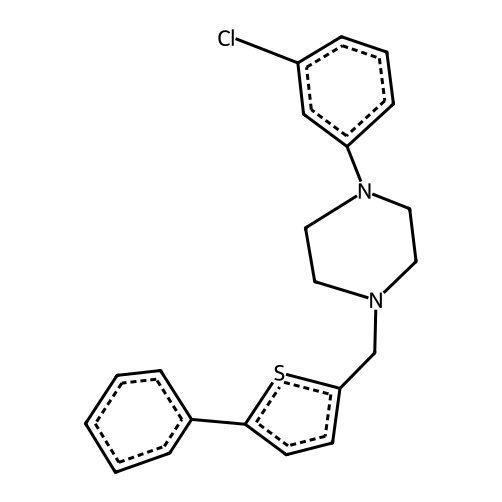 Clc1cccc(N2CCN(Cc3ccc(-c4ccccc4)s3)CC2)c1